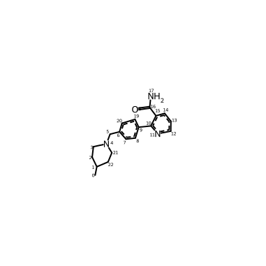 CC1CCN(Cc2ccc(-c3ncccc3C(N)=O)cc2)CC1